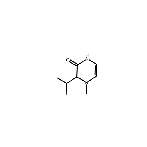 CC(C)C1C(=O)NC=CN1C